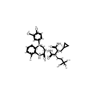 NC(=O)[C@@H](CC1CC1)[C@@H](CCC(F)(F)F)C(=O)N[C@H]1CN(c2ccc(Cl)c(Cl)c2)c2cccc(F)c2NC1=O